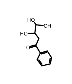 O=C(CC(O)C(O)O)c1ccccc1